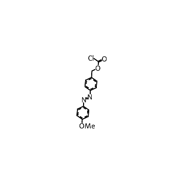 COc1ccc(N=Nc2ccc(COC(=O)Cl)cc2)cc1